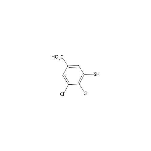 O=C(O)c1cc(S)c(Cl)c(Cl)c1